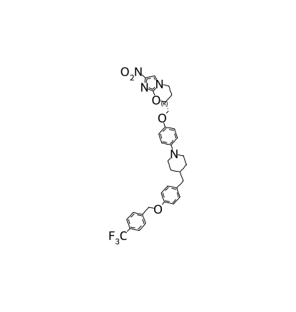 O=[N+]([O-])c1cn2c(n1)O[C@@H](COc1ccc(N3CCC(Cc4ccc(OCc5ccc(C(F)(F)F)cc5)cc4)CC3)cc1)CC2